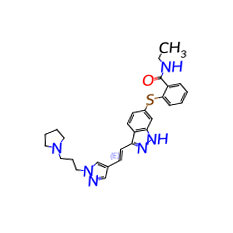 CCNC(=O)c1ccccc1Sc1ccc2c(/C=C/c3cnn(CCCN4CCCC4)c3)n[nH]c2c1